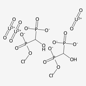 O=P([O-])([O-])C(O)P(=O)([O-])OCl.O=P([O-])([O-])C(O)P(=O)([O-])OCl.[O]=[U+2]=[O].[O]=[U+2]=[O].[O]=[U+2]=[O]